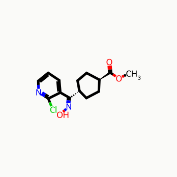 COC(=O)[C@H]1CC[C@H](/C(=N/O)c2cccnc2Cl)CC1